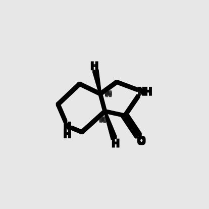 O=C1NC[C@H]2CCNC[C@@H]12